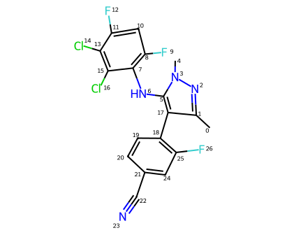 Cc1nn(C)c(Nc2c(F)cc(F)c(Cl)c2Cl)c1-c1ccc(C#N)cc1F